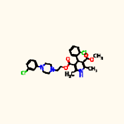 COC(=O)C1=C(C)NC(C)=C(C(=O)OCCN2CCN(c3cccc(Cl)c3)CC2)C1c1ccccc1Cl